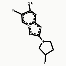 Nc1cc2nc(N3CCC(F)C3)nn2cc1F